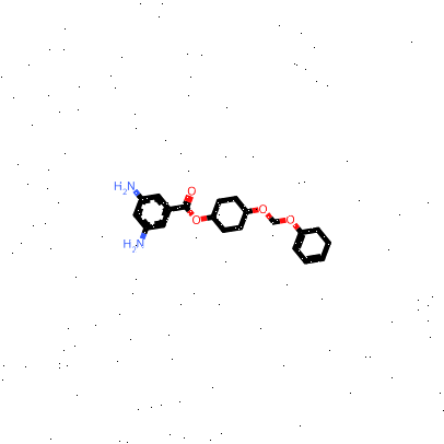 Nc1cc(N)cc(C(=O)OC2CCC(OCOC3=CC=CCC3)CC2)c1